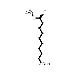 CCCCCCCCCCCCCCCCCC(=O)OOC(C)=O